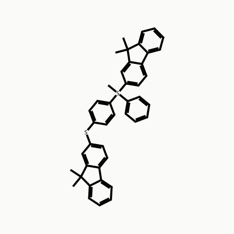 CC1(C)c2ccccc2-c2ccc(Sc3ccc(S(C)(c4ccccc4)c4ccc5c(c4)C(C)(C)c4ccccc4-5)cc3)cc21